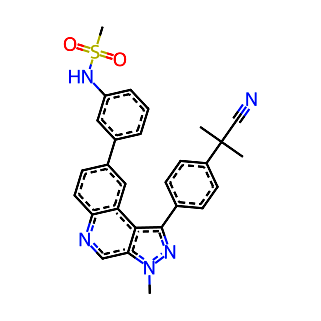 Cn1nc(-c2ccc(C(C)(C)C#N)cc2)c2c3cc(-c4cccc(NS(C)(=O)=O)c4)ccc3ncc21